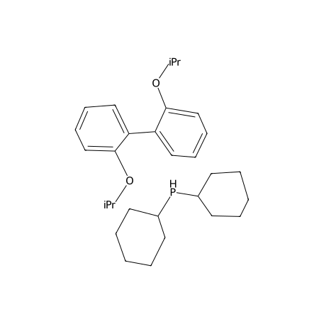 C1CCC(PC2CCCCC2)CC1.CC(C)Oc1ccccc1-c1ccccc1OC(C)C